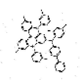 Cc1cccc(N2c3cc(C)ccc3B3c4ccc(C)cc4N(c4cccc(C)c4)c4cc(N(c5ccc(-c6ccccc6)cc5)c5ccc(C)cc5C)cc2c43)c1